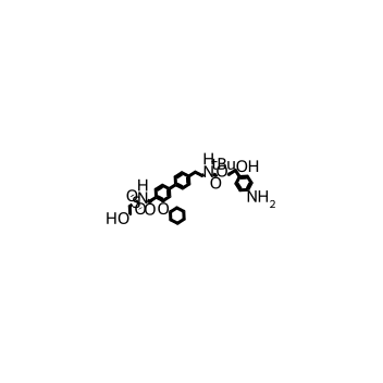 CC(C)(C)[C@](O)(COC(=O)NCCc1ccc(-c2ccc(C(=O)NS(=O)(=O)CCO)c(OC3CCCCC3)c2)cc1)c1ccc(N)cc1